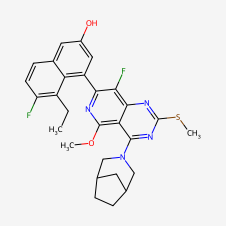 CCc1c(F)ccc2cc(O)cc(-c3nc(OC)c4c(N5CC6CCC(C6)C5)nc(SC)nc4c3F)c12